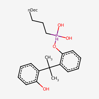 CCCCCCCCCCCCC[PH](O)(O)Oc1ccccc1C(C)(C)c1ccccc1O